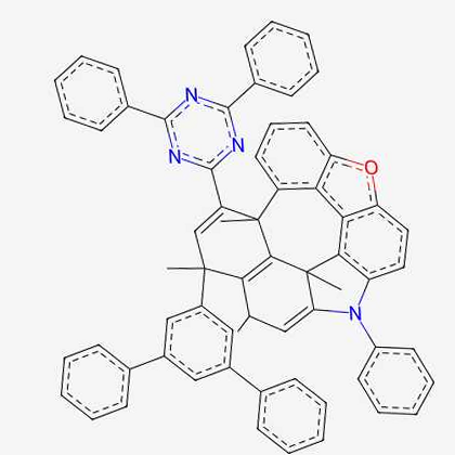 CC1C=C2N(c3ccccc3)c3ccc4oc5cccc6c5c4c3C2(C)C2=C1C(C)(c1cc(-c3ccccc3)cc(-c3ccccc3)c1)C=C(c1nc(-c3ccccc3)nc(-c3ccccc3)n1)C26C